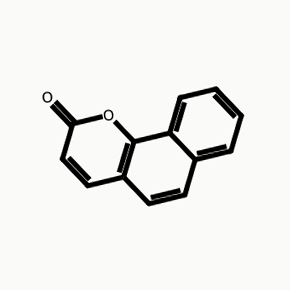 O=c1ccc2ccc3ccccc3c2o1